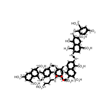 Cc1cc(/N=N\c2c(S(=O)(=O)O)cc3c(S(=O)(=O)O)c(N=Nc4cc(S(=O)(=O)O)c5cc(S(=O)(=O)O)c(/N=N\c6ccc([N+](=O)[O-])cc6S(=O)(=O)O)c(O)c5c4N)ccc3c2O)c(OCCCS(=O)(=O)O)cc1/N=N\c1cc(C)c(/N=N\c2cc(S(=O)(=O)O)cc3cc(S(=O)(=O)O)cc(S(=O)(=O)O)c23)cc1OCCCS(=O)(=O)O